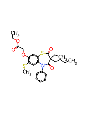 CCCCC1(CC)C(=O)Sc2cc(OCC(=O)OCC)c(SC)cc2N(c2ccccc2)C1=O